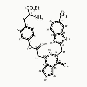 CCOC(=O)[C@@H](N)Cc1ccc(OC(=O)Cc2nn(Cc3nc4cc(C(F)(F)F)ccc4s3)c(=O)c3cscc23)cc1